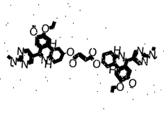 CCOc1cc2c(cc1OC)C(c1cnc(N(C)C)nc1)=N[C@@H]1CC[C@@H](OC(=O)/C=C/C(=O)O[C@@H]3CC[C@H]4N=C(c5cnc(N(C)C)nc5)c5cc(OC)c(OCC)cc5[C@H]4C3)C[C@H]21